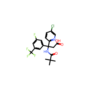 CC(C)(C)C(=O)NC(CC(=O)O)(c1cc(F)cc(C(F)(F)F)c1)c1ccc(Cl)cn1